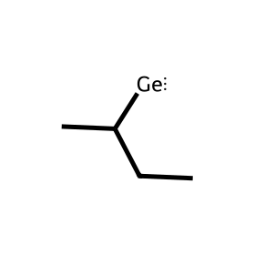 CC[CH](C)[Ge]